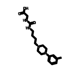 Cc1cccc(N2CCN(CCCCNC(=O)NCC(=O)O)CC2)c1